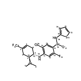 CN(C)[C@H]1CC(C(F)(F)F)=CC[C@@H]1Nc1cc(F)c([S+]([O-])Nc2nccs2)cc1Cl